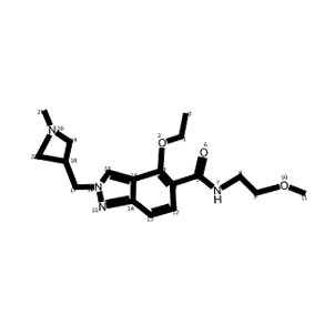 CCOc1c(C(=O)NCCOC)ccc2nn(CC3CN(C)C3)cc12